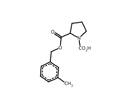 Cc1cccc(COC(=O)C2CCCN2C(=O)O)c1